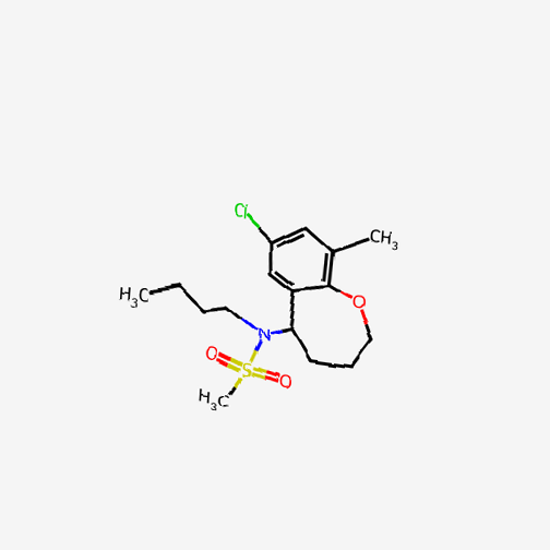 CCCCN(C1CCCOc2c(C)cc(Cl)cc21)S(C)(=O)=O